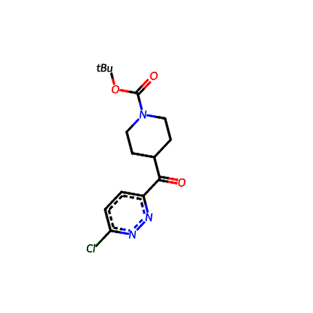 CC(C)(C)OC(=O)N1CCC(C(=O)c2ccc(Cl)nn2)CC1